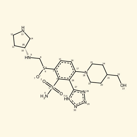 NS(=O)(=O)c1c([S+]([O-])CN[C@@H]2CCNC2)ccc(N2CCC(CO)CC2)c1-c1nnn[nH]1